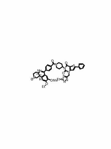 CCOc1cc2c(cc1OC)C(c1ccc(C(=O)N3CCC(n4c(=O)c5sc(-c6ccccc6)cc5n(Cc5nnn(CC)n5)c4=O)CC3)cc1)=N[C@@H]1CC[S@@+]([O-])C[C@H]21